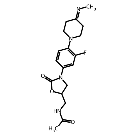 CN=C1CCN(c2ccc(N3CC(CNC(C)=O)OC3=O)cc2F)CC1